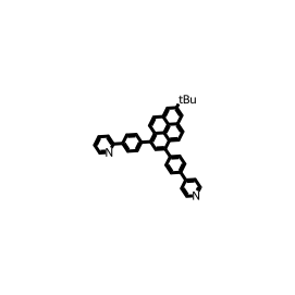 CC(C)(C)c1cc2ccc3c(-c4ccc(-c5ccncc5)cc4)cc(-c4ccc(-c5ccccn5)cc4)c4ccc(c1)c2c34